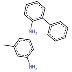 Cc1cccc(N)c1.Nc1ccccc1-c1ccccc1